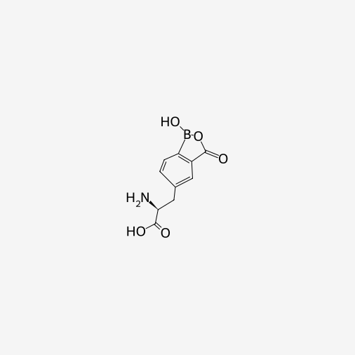 N[C@@H](Cc1ccc2c(c1)C(=O)OB2O)C(=O)O